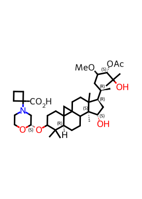 COC(C[C@@H](C)[C@H]1C[C@H](O)[C@@]2(C)C3CC[C@H]4C(C)(C)C(O[C@H]5CN(C6(C(=O)O)CCC6)CCO5)CCC45CC35CCC12C)[C@H](OC(C)=O)C(C)(C)O